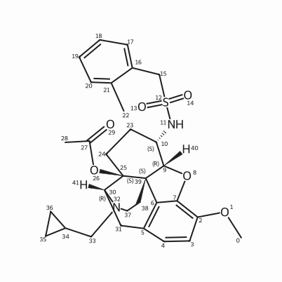 COc1ccc2c3c1O[C@H]1[C@@H](NS(=O)(=O)Cc4ccccc4C)CC[C@@]4(OC(C)=O)[C@@H](C2)N(CC2CC2)CC[C@]314